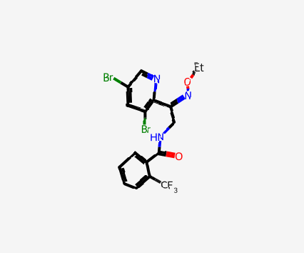 CCO/N=C(/CNC(=O)c1ccccc1C(F)(F)F)c1ncc(Br)cc1Br